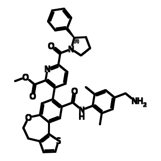 COC(=O)c1nc(C(=O)N2CCC[C@@H]2c2ccccc2)ccc1-c1cc2c(cc1C(=O)Nc1c(C)cc(CN)cc1C)-c1sccc1CCO2